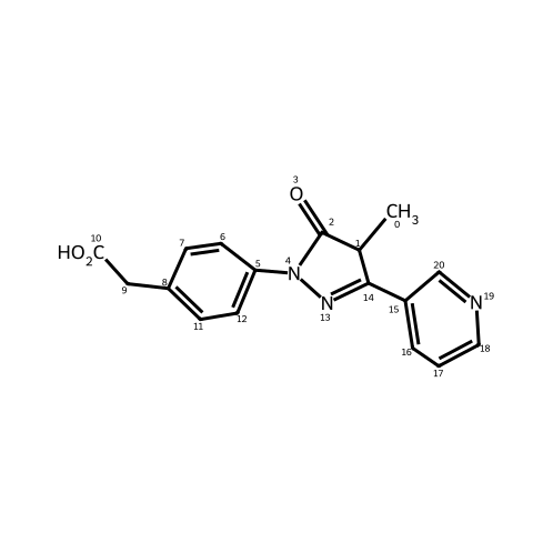 CC1C(=O)N(c2ccc(CC(=O)O)cc2)N=C1c1cccnc1